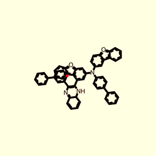 C1=CC2=NC(c3cccc(-c4ccccc4)c3)=C(c3cc(N(c4ccc(-c5ccccc5)cc4)c4ccc5oc6ccccc6c5c4)cc4oc5ccccc5c34)NC2C=C1